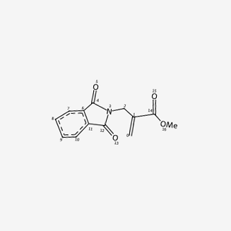 C=C(CN1C(=O)c2ccccc2C1=O)C(=O)OC